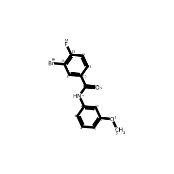 COc1cccc(NC(=O)c2ccc(F)c(Br)c2)c1